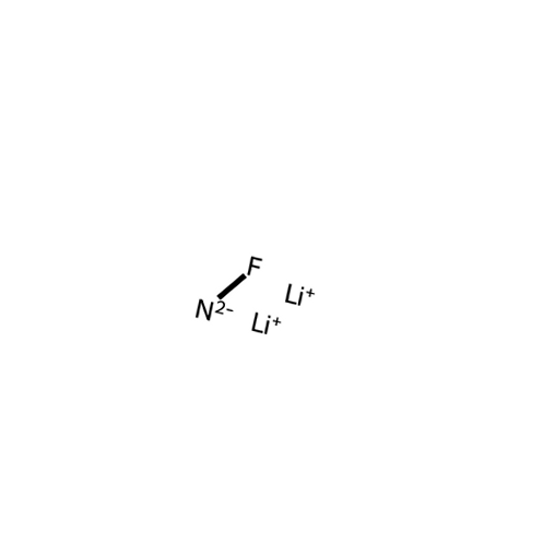 [Li+].[Li+].[N-2]F